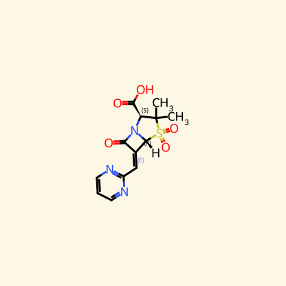 CC1(C)[C@H](C(=O)O)N2C(=O)/C(=C\c3ncccn3)[C@H]2S1(=O)=O